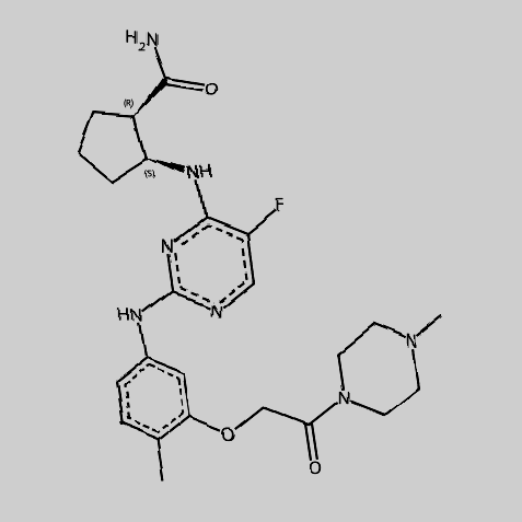 Cc1ccc(Nc2ncc(F)c(N[C@H]3CCC[C@H]3C(N)=O)n2)cc1OCC(=O)N1CCN(C)CC1